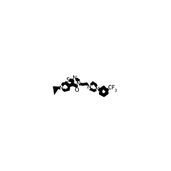 O=c1c2c3c(sc2ncn1CCN1CCN(c2cccc(C(F)(F)F)c2)CC1)CN(C1CC1)CC3